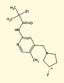 CCC(C)(C)C(=O)Nc1cc(CN2CC[C@H](F)C2)c(C)cn1